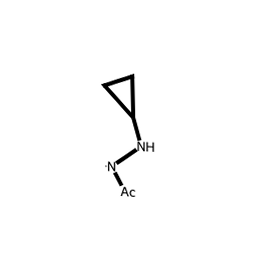 CC(=O)[N]NC1CC1